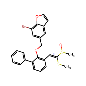 CS/C(=C\c1cccc(-c2ccccc2)c1OCc1cc(Br)c2occc2c1)[S+](C)[O-]